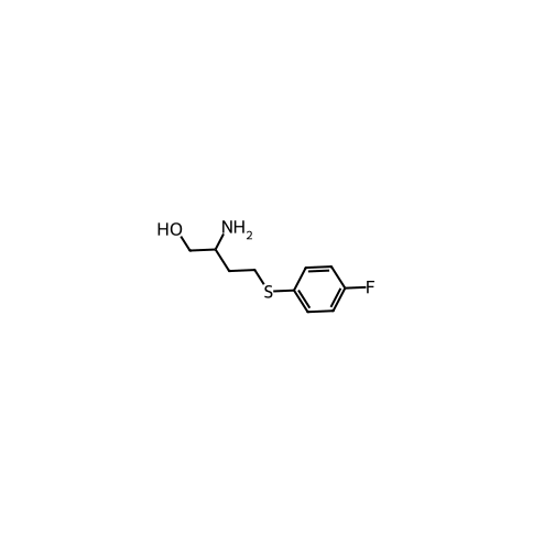 NC(CO)CCSc1ccc(F)cc1